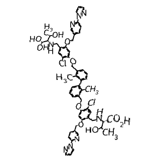 Cc1c(COc2cc(OCc3ccc(-n4cccn4)nc3)c(CN[C@H](C(=O)O)[C@@H](C)O)cc2Cl)cccc1-c1cccc(COc2cc(OCc3ccc(-n4cccn4)nc3)c(CN[C@H](C(O)O)[C@@H](C)O)cc2Cl)c1C